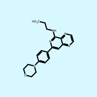 O=C(O)CCNc1nc(-c2ccc(N3CCOCC3)cc2)cc2nccnc12